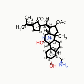 CC(=O)O[C@H]1C[C@@]2(C)[C@@H](C[C@@H](O)[C@H]3[C@@]4(C)CC[C@@H](O)[C@@H](CN)[C@@H]4CC[C@@]32N)/C1=C(/C(=O)O)C1CCC(=C(C)C)C1